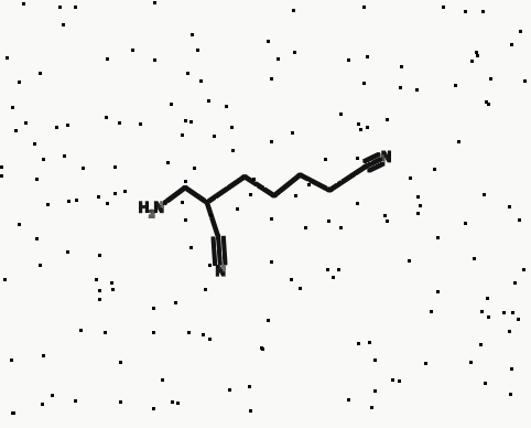 N#CCCCCC(C#N)CN